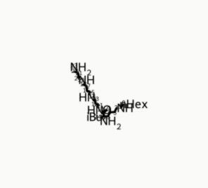 CCCCCCNCCCCC(N)(C(=O)NCCCNCCCCNCCCN)C(C)CC